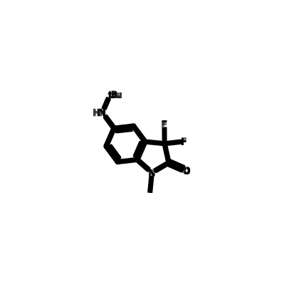 CN1C(=O)C(F)(F)c2cc(NC(C)(C)C)ccc21